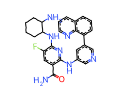 NC(=O)c1cc(F)c(NC2CCCCC2N)nc1Nc1cncc(-c2cccc3cccnc23)c1